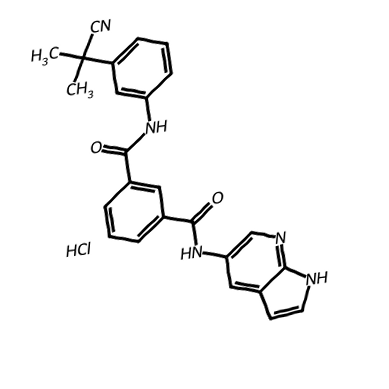 CC(C)(C#N)c1cccc(NC(=O)c2cccc(C(=O)Nc3cnc4[nH]ccc4c3)c2)c1.Cl